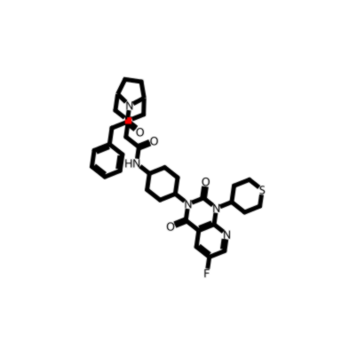 O=C(CN1CC2CCC(C1)N2C(=O)Cc1ccccc1)NC1CCC(n2c(=O)c3cc(F)cnc3n(C3CCSCC3)c2=O)CC1